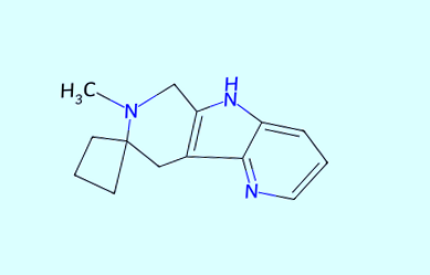 CN1Cc2[nH]c3cccnc3c2CC12CCC2